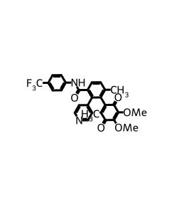 COC1=C(OC)C(=O)C(c2c(C)ccc(C(=O)Nc3ccc(C(F)(F)F)cc3)c2-c2ccncc2)=C(C)C1=O